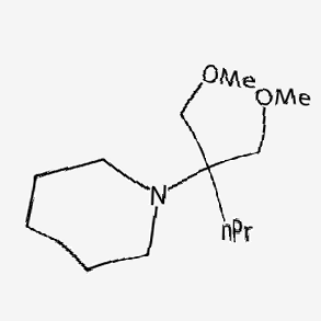 CCCC(COC)(COC)N1CCCCC1